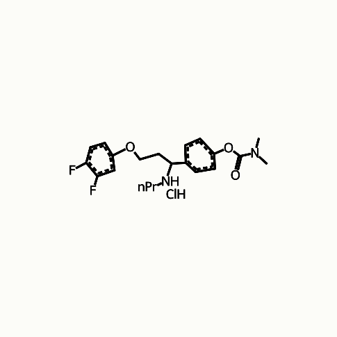 CCCNC(CCOc1ccc(F)c(F)c1)c1ccc(OC(=O)N(C)C)cc1.Cl